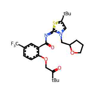 CC(C)(C)C(=O)COc1ccc(C(F)(F)F)cc1C(=O)N=c1sc(C(C)(C)C)cn1CC1CCCO1